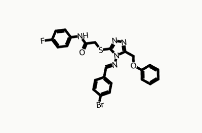 O=C(CSc1nnc(COc2ccccc2)n1N=Cc1ccc(Br)cc1)Nc1ccc(F)cc1